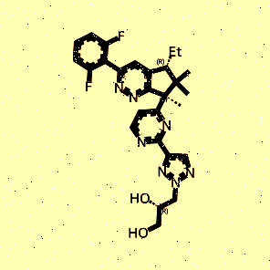 CC[C@H]1c2cc(-c3c(F)cccc3F)nnc2[C@](C)(c2ccnc(-c3cnn(C[C@@H](O)CO)n3)n2)C1(C)C